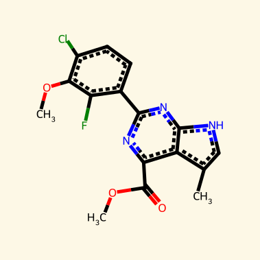 COC(=O)c1nc(-c2ccc(Cl)c(OC)c2F)nc2[nH]cc(C)c12